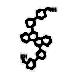 N=CC1=CC(C2=CCCC(C3=CC4=C(C=C(C5=CC(C6=CCC(C=N)C=C6)=CCC5)C5C=CC=CC45)C4C=CC=CC34)=C2)=CCC1